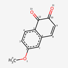 COc1ccc2c(c1)C=CC(=O)C2=O